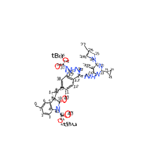 Cc1ccc2c(c1)[C@]1(C[C@H]1c1ccc3c(Nc4nc(C5CC5)nc(N5CC(C)C5)c4C)nn(C(=O)OC(C)(C)C)c3c1)C(=O)N2C(=O)OC(C)(C)C